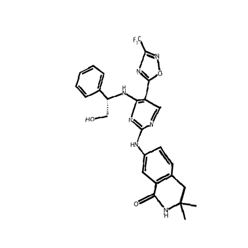 CC1(C)Cc2ccc(Nc3ncc(-c4nc(C(F)(F)F)no4)c(N[C@H](CO)c4ccccc4)n3)cc2C(=O)N1